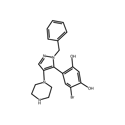 Oc1cc(O)c(-c2c(N3CCNCC3)cnn2Cc2ccccc2)cc1Br